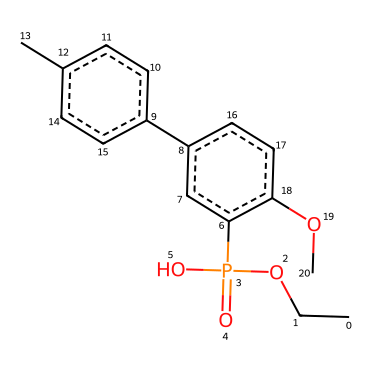 CCOP(=O)(O)c1cc(-c2ccc(C)cc2)ccc1OC